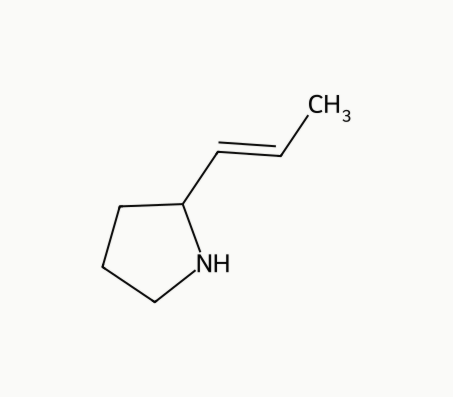 CC=CC1CCCN1